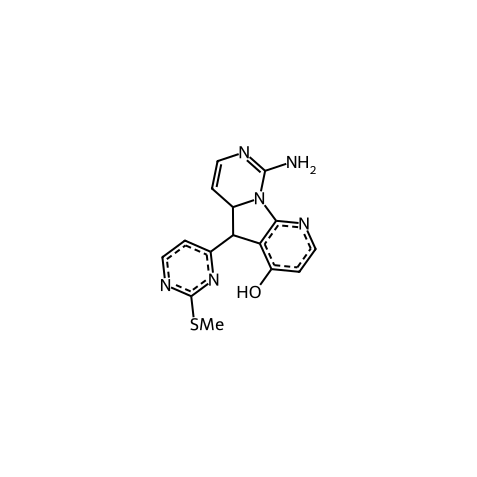 CSc1nccc(C2c3c(O)ccnc3N3C(N)=NC=CC23)n1